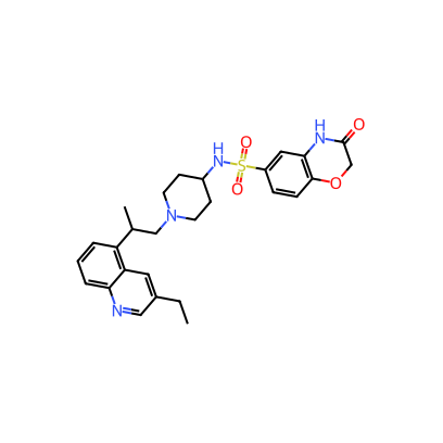 CCc1cnc2cccc(C(C)CN3CCC(NS(=O)(=O)c4ccc5c(c4)NC(=O)CO5)CC3)c2c1